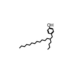 CCCCCCCCCCCCC(CCCC)Cc1ccc(O)cc1